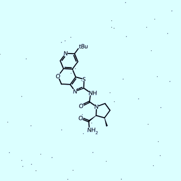 C[C@@H]1CCN(C(=O)Nc2nc3c(s2)-c2cc(C(C)(C)C)ncc2OC3)[C@@H]1C(N)=O